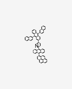 C1=c2c(-c3ccc(-c4ccc5c(-c6ccc7ccccc7c6)c6ccccc6c(-c6ccc7ccccc7c6)c5c4)cn3)c3ccccc3c(-c3ccc4ccc5cccc6ccc3c4c56)c2=CCC1